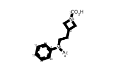 CC(=O)N(CCC1CN(C(=O)O)C1)c1ccccc1